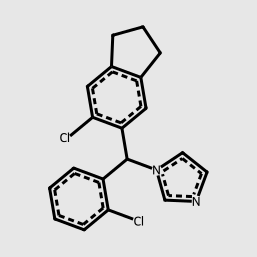 Clc1ccccc1C(c1cc2c(cc1Cl)CCC2)n1ccnc1